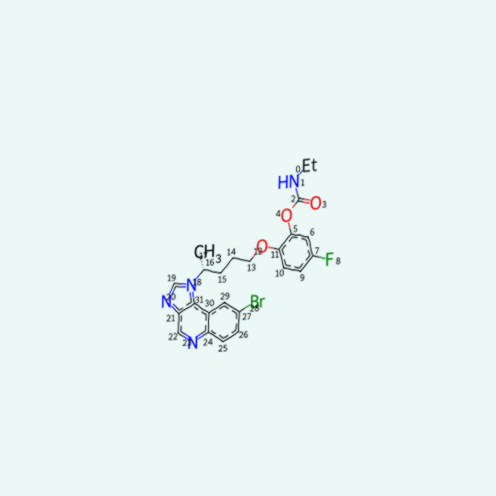 CCNC(=O)Oc1cc(F)ccc1OCCC[C@@H](C)n1cnc2cnc3ccc(Br)cc3c21